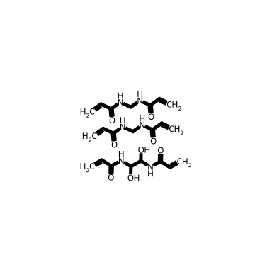 C=CC(=O)NC(O)C(O)NC(=O)C=C.C=CC(=O)NCNC(=O)C=C.C=CC(=O)NCNC(=O)C=C